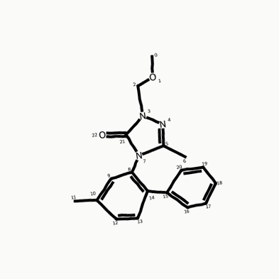 COCn1nc(C)n(-c2cc(C)ccc2-c2ccccc2)c1=O